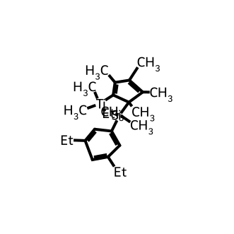 CCc1cc(CC)cc([Si](C)(CC)C2(C)C(C)=C(C)C(C)=[C]2[Ti]([CH3])([CH3])[CH3])c1